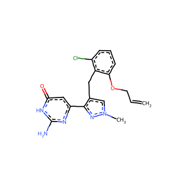 C=CCOc1cccc(Cl)c1Cc1cn(C)nc1-c1cc(=O)[nH]c(N)n1